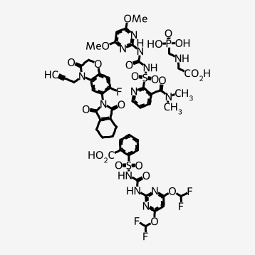 C#CCN1C(=O)COc2cc(F)c(N3C(=O)C4=C(CCCC4)C3=O)cc21.COc1cc(OC)nc(NC(=O)NS(=O)(=O)c2ncccc2C(=O)N(C)C)n1.O=C(Nc1nc(OC(F)F)cc(OC(F)F)n1)NS(=O)(=O)c1ccccc1C(=O)O.O=C(O)CNCP(=O)(O)O